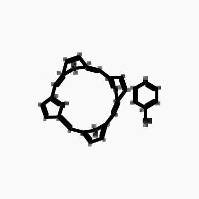 C1=Cc2cc3ccc(cc4nc(cc5ccc(cc1n2)[nH]5)C=C4)[nH]3.Oc1ccncc1